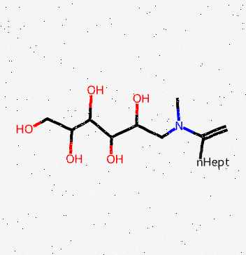 C=C(CCCCCCC)N(C)CC(O)C(O)C(O)C(O)CO